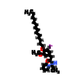 CCCCCCCCCCCCCCOc1ccc(CC(=O)NC(CC)[n+]2ccccc2)cc1OC.[I-]